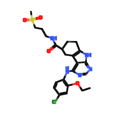 CCOc1cc(Cl)ccc1Nc1ncnc2[nH]c3c(c12)CC(C(=O)NCCCS(C)(=O)=O)CC3